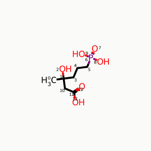 CC(O)(CCCP(=O)(O)O)CC(=O)O